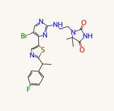 CC(c1ccc(F)cc1)c1ncc(-c2nc(NCCN3C(=O)NC(=O)C3(C)C)ncc2Br)s1